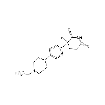 O=C(O)CN1CCC(c2ccc(C3(F)CCC(=O)NC3=O)cc2)CC1